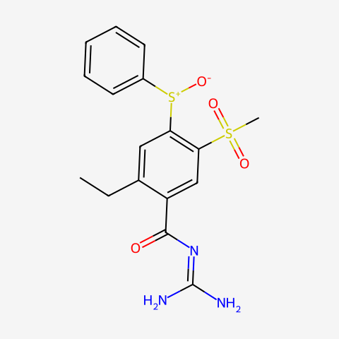 CCc1cc([S+]([O-])c2ccccc2)c(S(C)(=O)=O)cc1C(=O)N=C(N)N